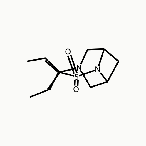 CCC(C)N1CC2CC(C1)N2S(=O)(=O)C(C)CC